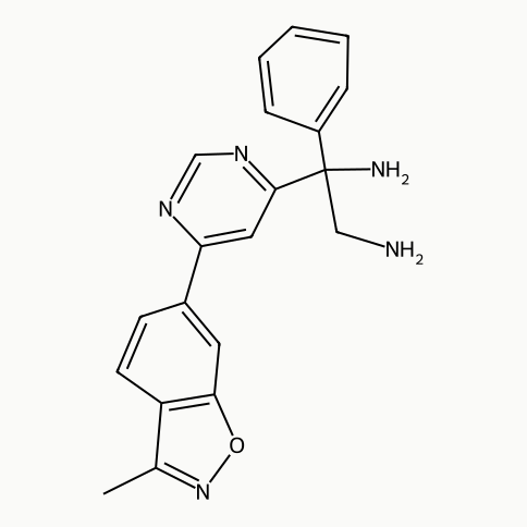 Cc1noc2cc(-c3cc(C(N)(CN)c4ccccc4)ncn3)ccc12